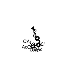 CC(=O)OC[C@H]1OC(c2ccc(Cl)c(Cc3ccc(OCCOC4CC4)cc3)c2)[C@H](OC(C)=O)[C@@H](OC(C)=O)[C@@H]1OC(C)=O